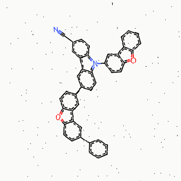 N#Cc1ccc2c(c1)c1cc(-c3ccc4oc5ccc(-c6ccccc6)cc5c4c3)ccc1n2-c1ccc2oc3ccccc3c2c1